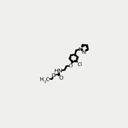 CCOC(=O)NCCOc1ccc(Cn2cccn2)cc1Cl